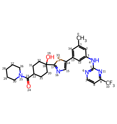 Cc1cc(Nc2nccc(C(F)(F)F)n2)cc(-c2cnc(C3(O)CCC(C(=O)N4CCCCC4)CC3)s2)c1